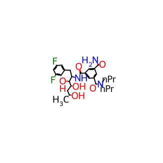 CCCN(CCC)C(=O)c1cc(C(N)=O)cc(C(=O)NC(Cc2cc(F)cc(F)c2)C(O)C(O)CC(C)O)c1